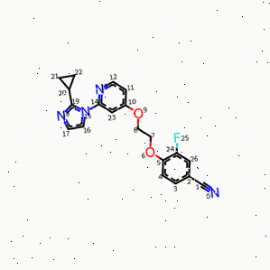 N#Cc1ccc(OCCOc2ccnc(-n3ccnc3C3CC3)c2)c(F)c1